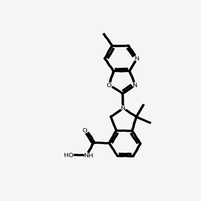 Cc1cnc2nc(N3Cc4c(C(=O)NO)cccc4C3(C)C)oc2c1